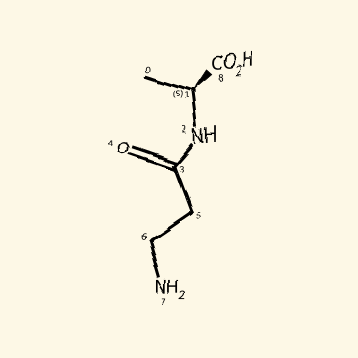 C[C@H](NC(=O)CCN)C(=O)O